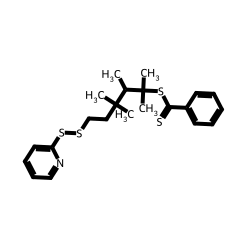 CC(C(C)(C)CCSSc1ccccn1)C(C)(C)SC(=S)c1ccccc1